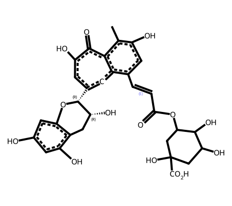 Cc1c(O)cc(/C=C/C(=O)OC2CC(O)(C(=O)O)CC(O)C2O)c2cc([C@H]3Oc4cc(O)cc(O)c4C[C@H]3O)cc(O)c(=O)c12